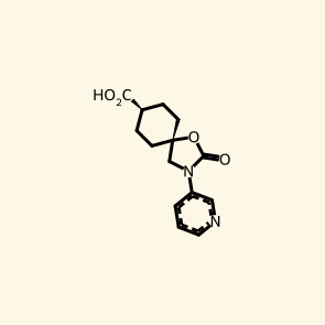 O=C1O[C@]2(CC[C@H](C(=O)O)CC2)CN1c1cccnc1